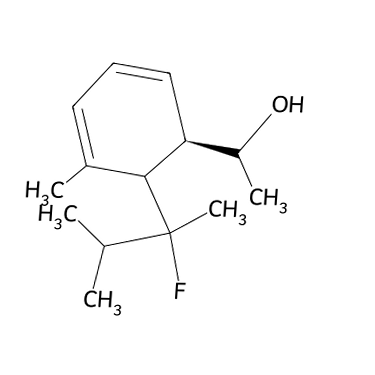 CC1=CC=C[C@@H](C(C)O)C1C(C)(F)C(C)C